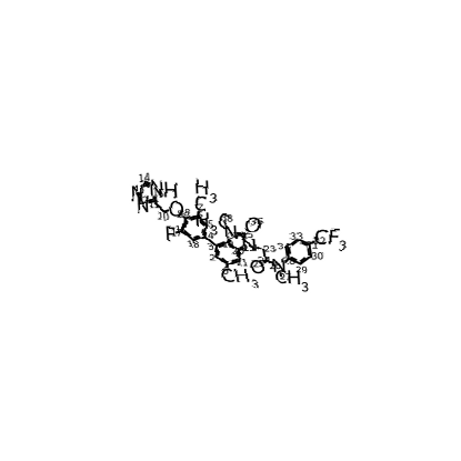 Cc1cc(-c2cc(C)c(OCc3nnc[nH]3)c(F)c2)c2c(c1)n(CC(=O)N(C)c1ccc(C(F)(F)F)cc1)c(=O)n2C